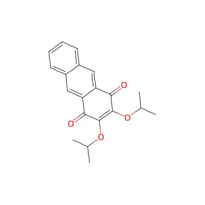 CC(C)OC1=C(OC(C)C)C(=O)c2cc3ccccc3cc2C1=O